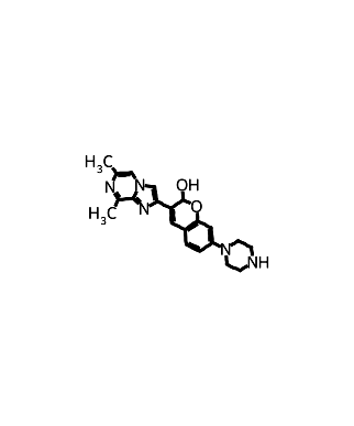 Cc1cn2cc(C3=Cc4ccc(N5CCNCC5)cc4OC3O)nc2c(C)n1